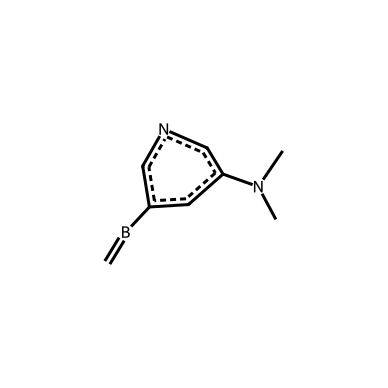 C=Bc1cncc(N(C)C)c1